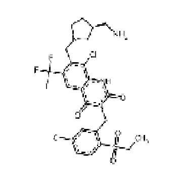 CCS(=O)(=O)c1ccc(Cl)cc1Cn1c(=O)[nH]c2c(Cl)c(CN3CC[C@@H](CN)C3)c(C(F)(F)F)cc2c1=O